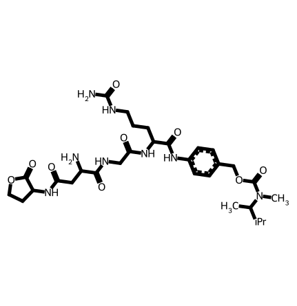 CC(C)C(C)N(C)C(=O)OCc1ccc(NC(=O)C(CCCNC(N)=O)NC(=O)CNC(=O)C(N)CC(=O)NC2CCOC2=O)cc1